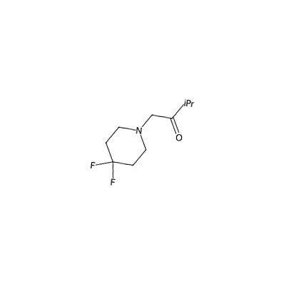 CC(C)C(=O)CN1CCC(F)(F)CC1